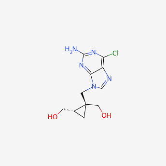 Nc1nc(Cl)c2ncn(C[C@@]3(CO)C[C@@H]3CO)c2n1